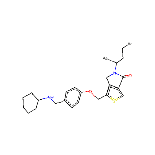 CC(=O)CCC(C(C)=O)N1Cc2c(csc2COc2ccc(CNC3CCCCC3)cc2)C1=O